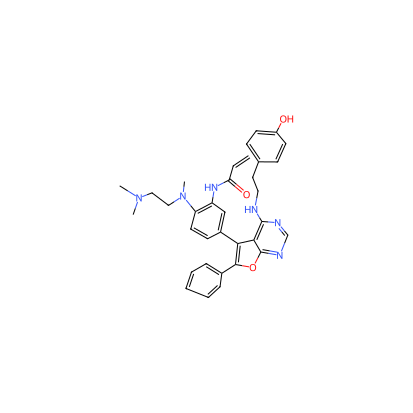 C=CC(=O)Nc1cc(-c2c(-c3ccccc3)oc3ncnc(NCCc4ccc(O)cc4)c23)ccc1N(C)CCN(C)C